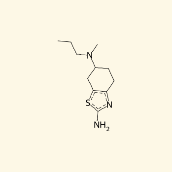 CCCN(C)C1CCc2nc(N)sc2C1